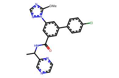 COc1ncnn1-c1cc(C(=O)NC(C)c2cnccn2)cc(-c2ccc(Cl)cc2)c1